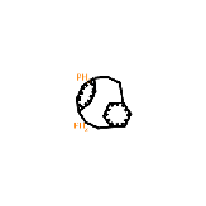 P.P.c1cc2ccc1CCc1ccc(cc1)CC2